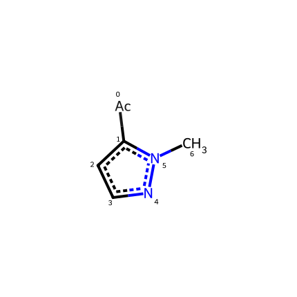 CC(=O)c1ccnn1C